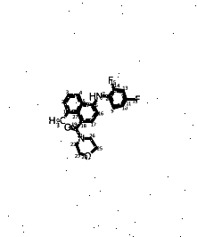 Cc1cccc2c(Nc3ccc(F)cc3F)ccc(C(=O)N3CCOCC3)c12